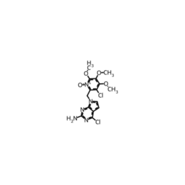 COc1c(Cl)c(Cn2ccc3c(Cl)nc(N)nc32)[n+]([O-])c(OC)c1OC